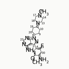 COc1cc(-c2nn(C3CCC(N4CCN(C)CC4)CC3)c3ncnc(N)c23)c(F)cc1N